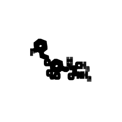 CC(NCc1ccc(OCCc2ccccc2F)c2c1OCO2)C(N)=O